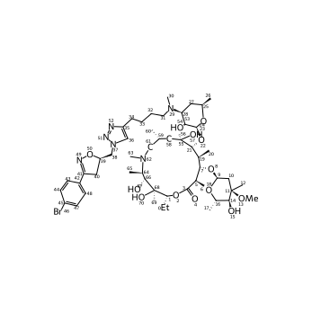 CC[C@H]1OC(=O)[C@H](C)[C@@H](O[C@H]2C[C@@](C)(OC)[C@@H](O)[C@H](C)O2)[C@H](C)[C@@H](O[C@@H]2O[C@H](C)C[C@H](N(C)CCCCc3cn(C[C@H]4CC(c5ccc(Br)cc5)=NO4)nn3)[C@H]2O)[C@](C)(O)C[C@@H](C)CN(C)[C@H](C)[C@@H](O)[C@]1(C)O